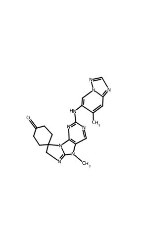 Cc1cc2ncnn2cc1Nc1ncc2c(n1)N1C(=NCC13CCC(=O)CC3)N2C